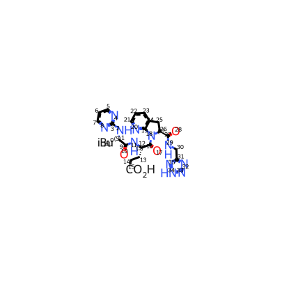 CC[C@H](C)[C@H](Nc1ncccn1)C(=O)N[C@@H](CCC(=O)O)C(=O)N1c2ncccc2C[C@H]1C(=O)NCc1nn[nH]n1